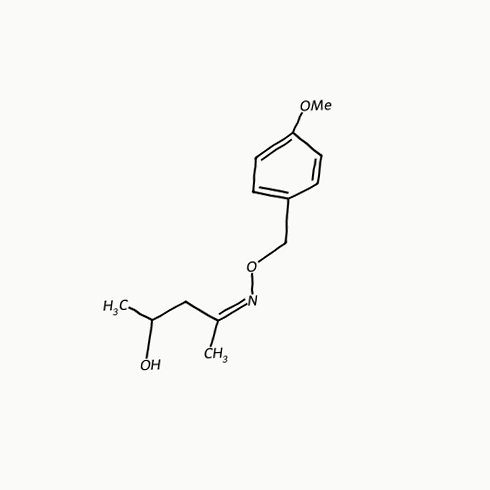 COc1ccc(CON=C(C)CC(C)O)cc1